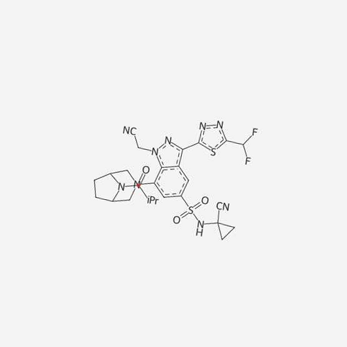 CC(C)C(=O)N1C2CCC1CN(c1cc(S(=O)(=O)NC3(C#N)CC3)cc3c(-c4nnc(C(F)F)s4)nn(CC#N)c13)C2